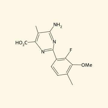 COc1c(C)ccc(-c2nc(N)c(C)c(C(=O)O)n2)c1F